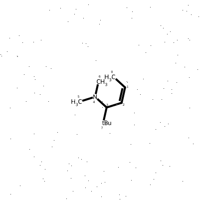 C/C=C\C(N(C)C)C(C)(C)C